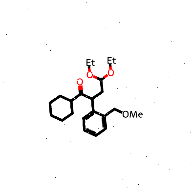 CCOC(CC(C(=O)C1CCCCC1)c1ccccc1COC)OCC